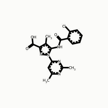 Cc1cc(-n2nc(C(=O)O)c(C)c2NC(=O)c2ccccc2Cl)nc(C)n1